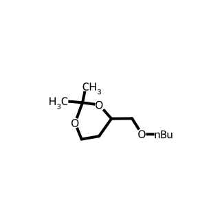 CCCCOCC1CCOC(C)(C)O1